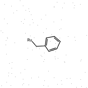 [Ru][CH2]c1ccccc1